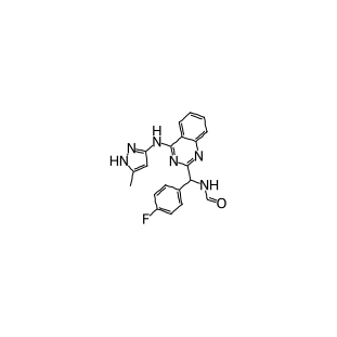 Cc1cc(Nc2nc(C(NC=O)c3ccc(F)cc3)nc3ccccc23)n[nH]1